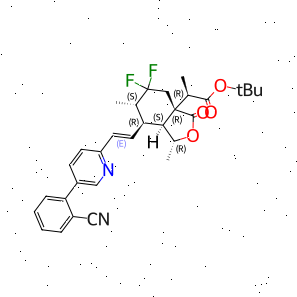 C[C@H]1OC(=O)[C@]2([C@@H](C)C(=O)OC(C)(C)C)CC(F)(F)[C@@H](C)[C@H](/C=C/c3ccc(-c4ccccc4C#N)cn3)[C@H]12